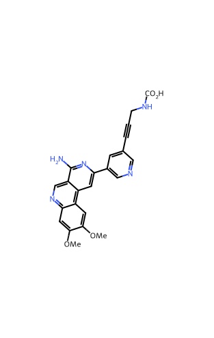 COc1cc2ncc3c(N)nc(-c4cncc(C#CCNC(=O)O)c4)cc3c2cc1OC